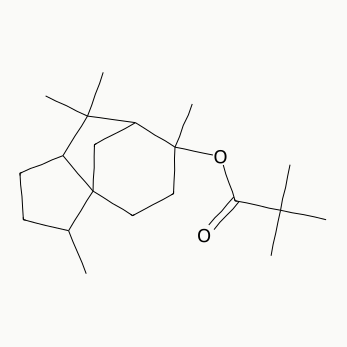 CC1CCC2C(C)(C)C3CC12CCC3(C)OC(=O)C(C)(C)C